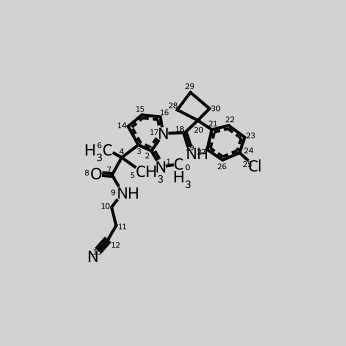 C/N=c1/c(C(C)(C)C(=O)NCCC#N)cccn1C(=N)C1(c2ccc(Cl)cc2)CCC1